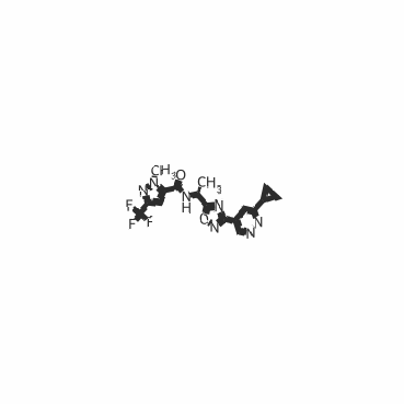 C[C@H](NC(=O)c1cc(C(F)(F)F)nn1C)c1nc(-c2cnnc(C3CC3)c2)no1